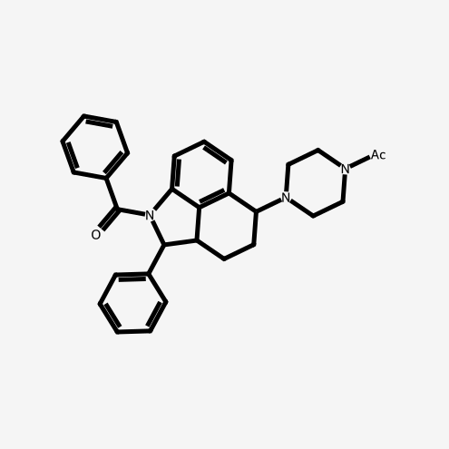 CC(=O)N1CCN(C2CCC3c4c2cccc4N(C(=O)c2ccccc2)C3c2ccccc2)CC1